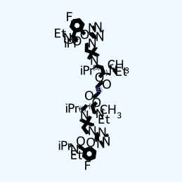 CCN(C)C[C@H](C[C@@H](C(C)C)N1CC2(CCN(c3ncnnc3Oc3ccc(F)cc3C(=O)N(CC)C(C)C)C2)C1)OC(=O)/C=C/C(=O)O[C@@H](C[C@@H](C(C)C)N1CC2(CCN(c3ncnnc3Oc3ccc(F)cc3C(=O)N(CC)C(C)C)C2)C1)CN(C)CC